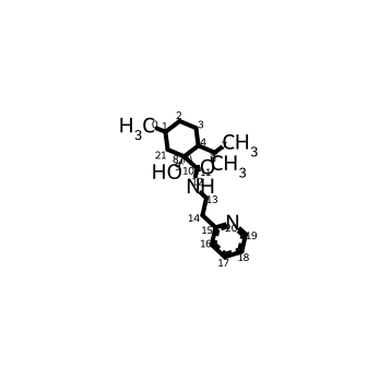 CC1CCC(C(C)C)[C@@](O)(C(=O)NCCc2ccccn2)C1